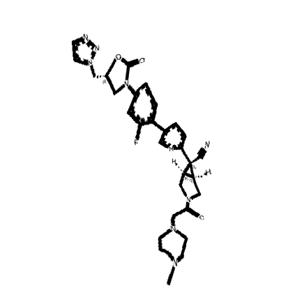 CN1CCN(CC(=O)N2C[C@@H]3[C@H](C2)[C@@]3(C#N)c2ccc(-c3ccc(N4C[C@H](Cn5ccnn5)OC4=O)cc3F)cn2)CC1